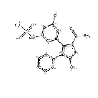 Cc1cc(C(N)=O)c(-c2cc(Cl)cc(NS(C)(=O)=O)c2)n1-c1ccccc1